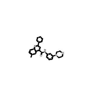 Cc1ccc2nc(-c3ccccc3)cc(C(=O)Nc3cccc(N4CCOCC4)c3)c2c1